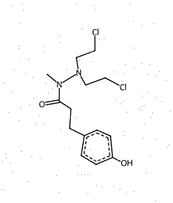 CN(C(=O)CCc1ccc(O)cc1)N(CCCl)CCCl